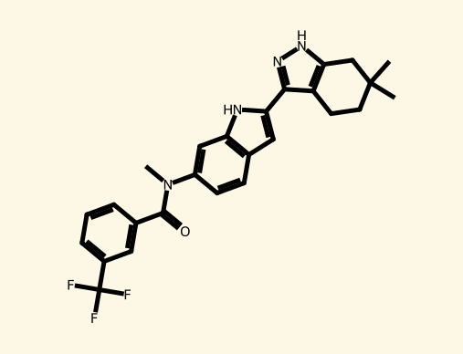 CN(C(=O)c1cccc(C(F)(F)F)c1)c1ccc2cc(-c3n[nH]c4c3CCC(C)(C)C4)[nH]c2c1